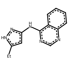 CCc1cc(Nc2n[c]nc3ccccc23)n[nH]1